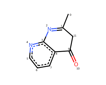 CC1=Nc2ncccc2C(=O)C1